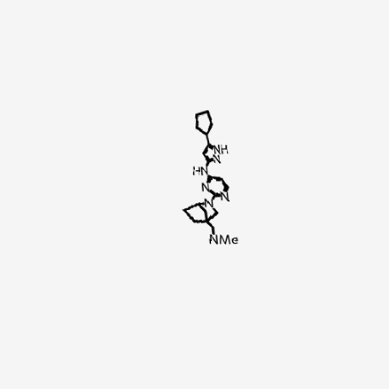 CNCC12CCC(C1)N(c1nccc(Nc3cc(C4CCCC4)[nH]n3)n1)C2